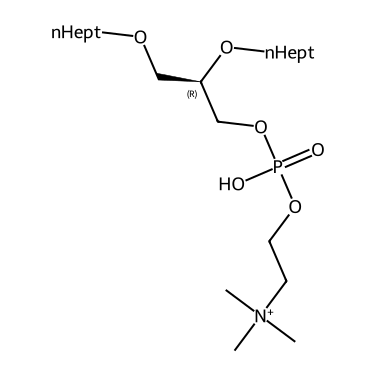 CCCCCCCOC[C@H](COP(=O)(O)OCC[N+](C)(C)C)OCCCCCCC